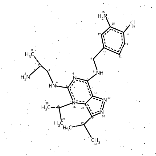 CC(N)CNc1nc(NCc2ccc(Cl)c(N)c2)c2nnc(C(C)C)c-2n1C(C)C